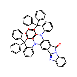 O=C1c2cc(N3c4ccccc4C(c4ccccc4)(c4ccccc4)c4ccccc43)c(N3c4ccccc4C(c4ccccc4)(c4ccccc4)c4ccccc43)cc2-c2nc3ccccc3n21